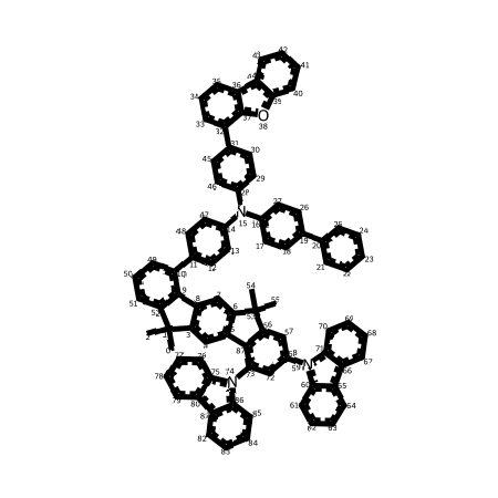 CC1(C)c2cc3c(cc2-c2c(-c4ccc(N(c5ccc(-c6ccccc6)cc5)c5ccc(-c6cccc7c6oc6ccccc67)cc5)cc4)cccc21)C(C)(C)c1cc(-n2c4ccccc4c4ccccc42)cc(-n2c4ccccc4c4ccccc42)c1-3